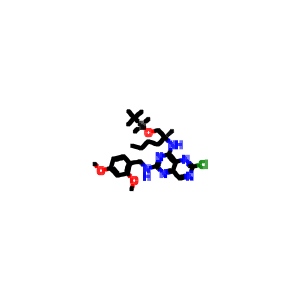 CCCC[C@](C)(CO[Si](C)(C)C(C)(C)C)Nc1nc(NCc2ccc(OC)cc2OC)nc2cnc(Cl)nc12